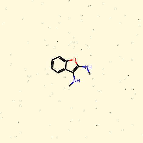 CNc1oc2ccccc2c1NC